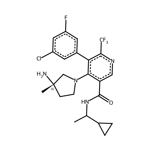 CC(NC(=O)c1cnc(C(F)(F)F)c(-c2cc(F)cc(Cl)c2)c1N1CC[C@](C)(N)C1)C1CC1